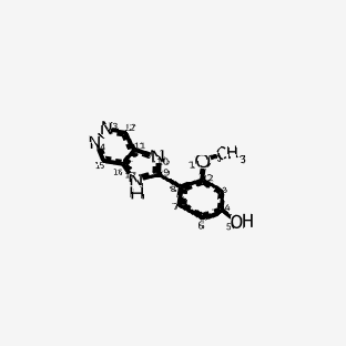 COc1cc(O)ccc1-c1nc2cnncc2[nH]1